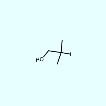 CC(C)(I)CO